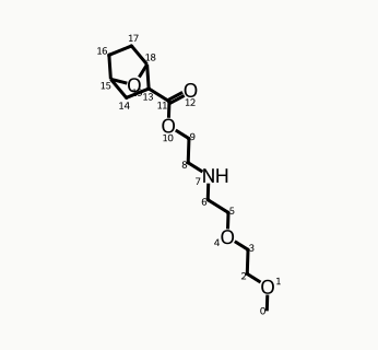 COCCOCCNCCOC(=O)C1CC2CCC1O2